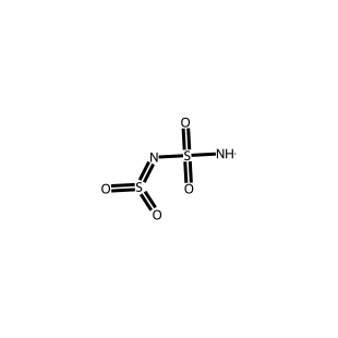 [NH]S(=O)(=O)N=S(=O)=O